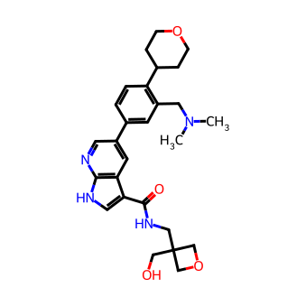 CN(C)Cc1cc(-c2cnc3[nH]cc(C(=O)NCC4(CO)COC4)c3c2)ccc1C1CCOCC1